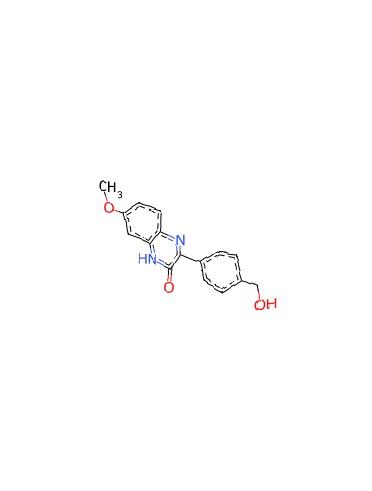 COc1ccc2nc(-c3ccc(CO)cc3)c(=O)[nH]c2c1